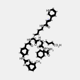 Cc1cccc2oc(Nc3ccc(CC(=O)N[C@H](CCCCNC(=O)/C=C/C4=CC=CNC4)C(=O)N[C@H](CCCC(=O)O)C(=O)NC4(C(N)=O)CCCCC4)cc3)nc12